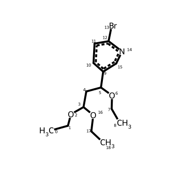 CCOC(CC(OCC)c1ccc(Br)nc1)OCC